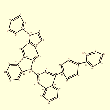 c1ccc(-n2ccc3cc4c(cc32)c2ccccc2n4-c2nc(-c3ccc(-c4ccccn4)cc3)c3ccccc3n2)cc1